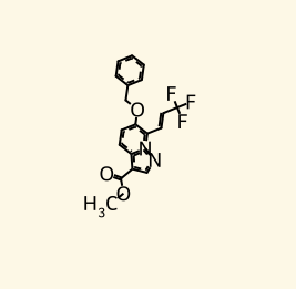 COC(=O)c1cnn2c(C=CC(F)(F)F)c(OCc3ccccc3)ccc12